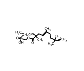 C=CC(C)(C)CCC(C)=CCC(C)(CC)C(=O)OCP(=O)(O)OC